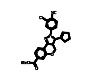 [C-]#[N+]c1ccc(N2N=C3c4ccc(C(=O)OC)cc4OCC3C2C2=CCCC2)cc1Cl